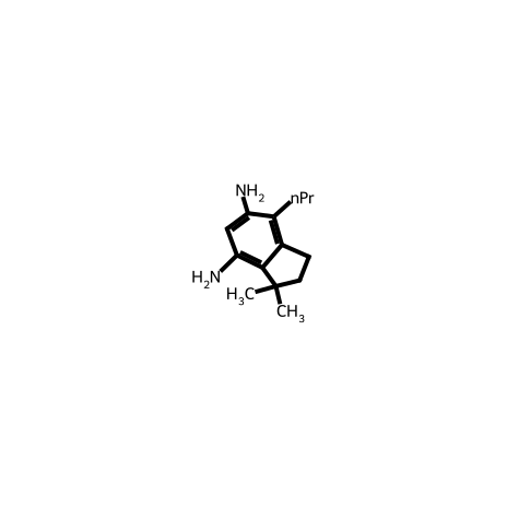 CCCc1c(N)cc(N)c2c1CCC2(C)C